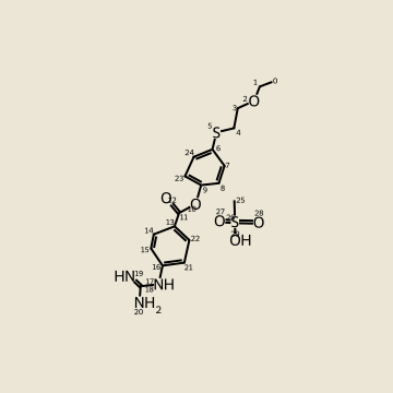 CCOCCSc1ccc(OC(=O)c2ccc(NC(=N)N)cc2)cc1.CS(=O)(=O)O